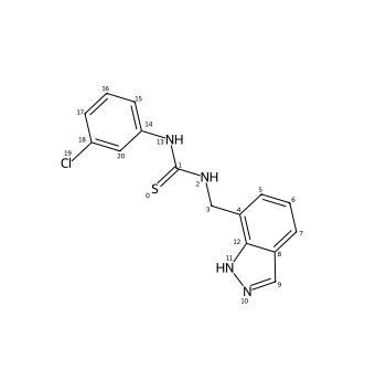 S=C(NCc1cccc2cn[nH]c12)Nc1cccc(Cl)c1